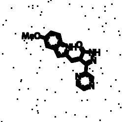 COc1ccc2[nH]c(C=C3C(=O)NN=C3c3cnccn3)cc2c1